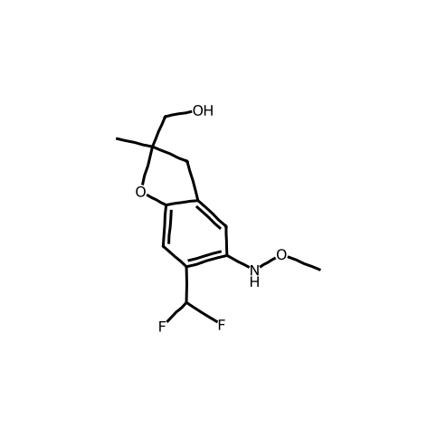 CONc1cc2c(cc1C(F)F)OC(C)(CO)C2